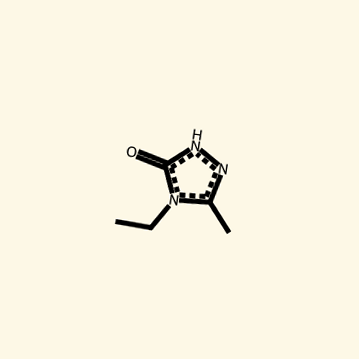 CCn1c(C)n[nH]c1=O